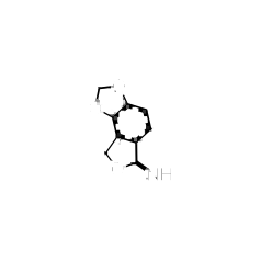 N=C1OCc2c1ccc1c2OCO1